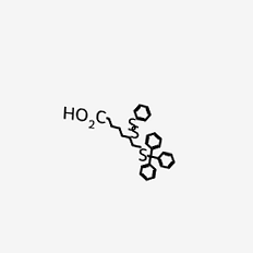 O=C(O)CCCCC(CCSC(c1ccccc1)(c1ccccc1)c1ccccc1)SSc1ccccc1